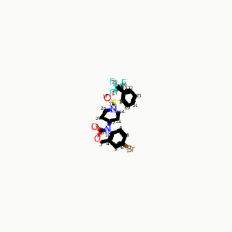 O=C1OCc2cc(Br)ccc2N1C1CCN([S+]([O-])c2ccccc2C(F)(F)F)CC1